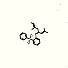 C/C=C(\C)CC(C=C(C)C)Sc1ccccc1S(=O)(=O)c1ccccc1